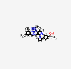 CC(O)C1CCC(C2CCCN2c2ncc(C(F)(F)F)cc2CN(Cc2cc(C(F)(F)F)cc(C(F)(F)F)c2)c2nnn(C)n2)CC1